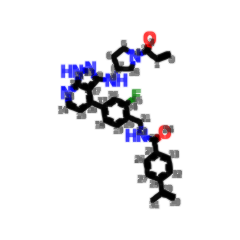 C=CC(=O)N1CC[C@@H](Nc2n[nH]c3nccc(-c4ccc(CNC(=O)c5ccc(C(=C)C)cc5)c(F)c4)c23)C1